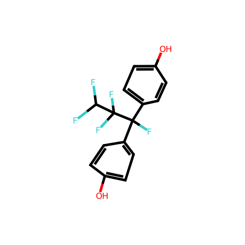 Oc1ccc(C(F)(c2ccc(O)cc2)C(F)(F)C(F)F)cc1